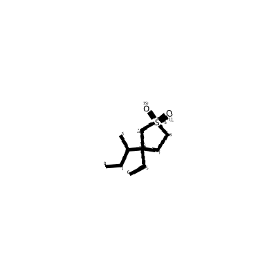 CCC(C)C1(CC)CCS(=O)(=O)C1